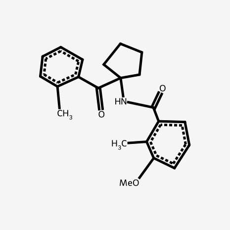 COc1cccc(C(=O)NC2(C(=O)c3ccccc3C)CCCC2)c1C